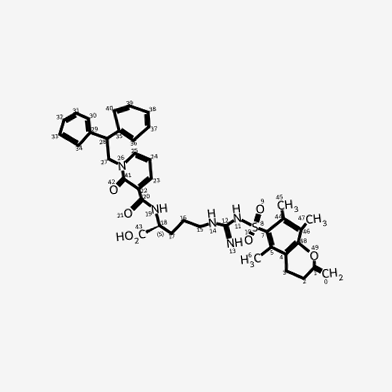 C=C1CCc2c(C)c(S(=O)(=O)NC(=N)NCCC[C@H](NC(=O)c3cccn(CC(c4ccccc4)c4ccccc4)c3=O)C(=O)O)c(C)c(C)c2O1